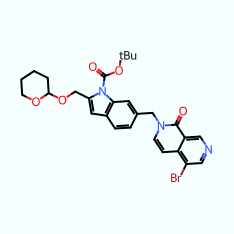 CC(C)(C)OC(=O)n1c(COC2CCCCO2)cc2ccc(Cn3ccc4c(Br)cncc4c3=O)cc21